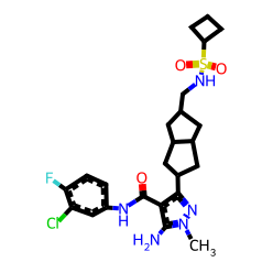 Cn1nc(C2CC3CC(CNS(=O)(=O)C4CCC4)CC3C2)c(C(=O)Nc2ccc(F)c(Cl)c2)c1N